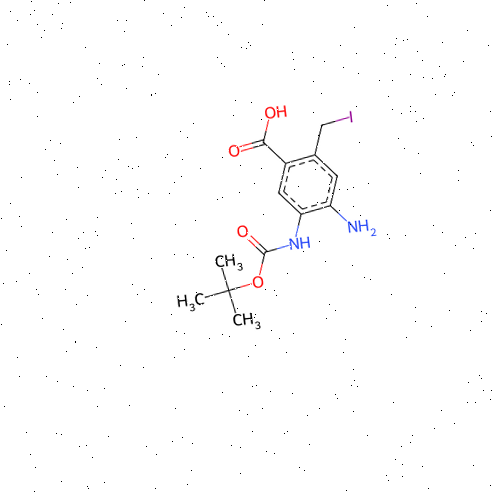 CC(C)(C)OC(=O)Nc1cc(C(=O)O)c(CI)cc1N